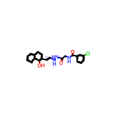 O=C(CNC(=O)c1cccc(Cl)c1)NN/C=C/c1ccc2ccccc2c1O